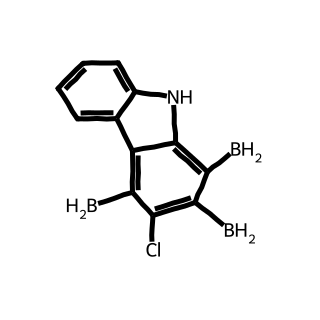 Bc1c(Cl)c(B)c2c([nH]c3ccccc32)c1B